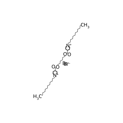 CCCCCCCCCCCC[n+]1ccc(C(=O)OCCCCCCOC(=O)c2cc[n+](CCCCCCCCCCCC)cc2)cc1.[Br-].[Br-]